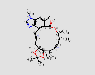 Cc1cc2c(ncn2C)c2c1C(=O)O[C@@H](C)[C@H](C)/C=C\C(C)[C@H]1OC(C)(C)O[C@H]1C/C=C/2